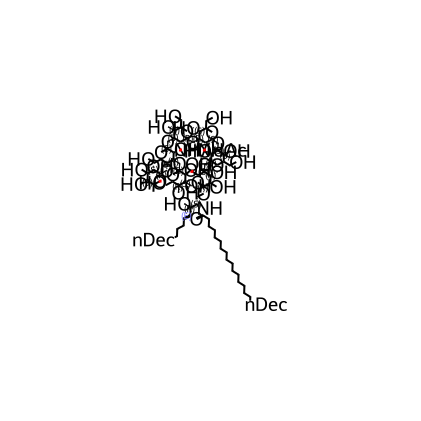 CCCCCCCCCCCCC/C=C/[C@@H](O)[C@H](CO[C@@H]1OC(CO)[C@@H](O[C@@H]2OC(CO)[C@H](O)[C@H](O[C@@H]3OC(CO)[C@@H](O)[C@H](O[C@@H]4OC(CO)[C@H](O)[C@H](O[C@@H]5OC(CO)[C@@H](O[C@H]6OC(C)[C@@H](O)C(O)[C@@H]6O)[C@H](O[C@@H]6OC(CO)[C@H](O)[C@H](O)C6O)C5NC(C)=O)C4O)C3NC(C)=O)C2O)[C@H](O)C1O)NC(=O)CCCCCCCCCCCCCCCCCCCCCCCCC